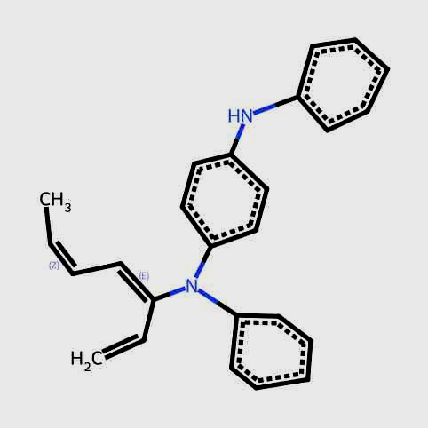 C=C/C(=C\C=C/C)N(c1ccccc1)c1ccc(Nc2ccccc2)cc1